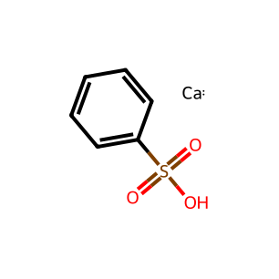 O=S(=O)(O)c1ccccc1.[Ca]